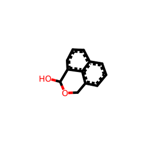 OC1OCc2cccc3cccc1c23